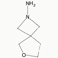 NN1CC2(CCOC2)C1